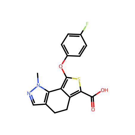 Cn1ncc2c1-c1c(Oc3ccc(F)cc3)sc(C(=O)O)c1CC2